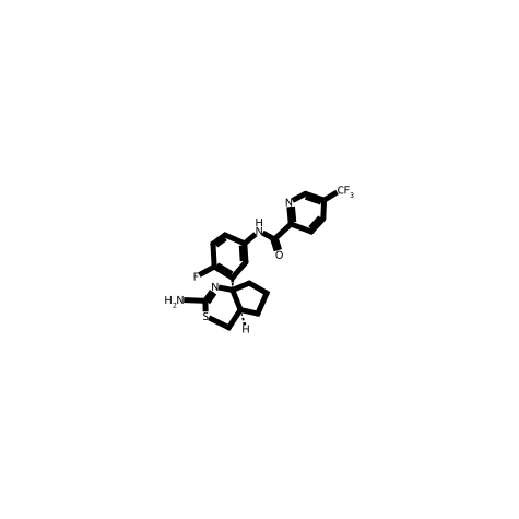 NC1=N[C@@]2(c3cc(NC(=O)c4ccc(C(F)(F)F)cn4)ccc3F)CCC[C@H]2CS1